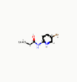 COCC(=O)Nc1ccc(Br)cn1